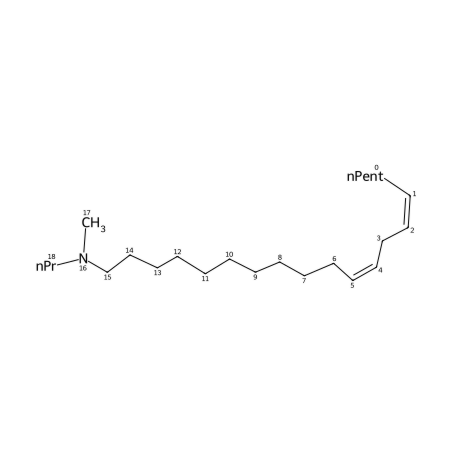 CCCCC/C=C\C/C=C\CCCCCCCCCCN(C)CCC